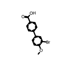 COc1ccc(-c2ccc(C(=O)O)cc2)cc1Br